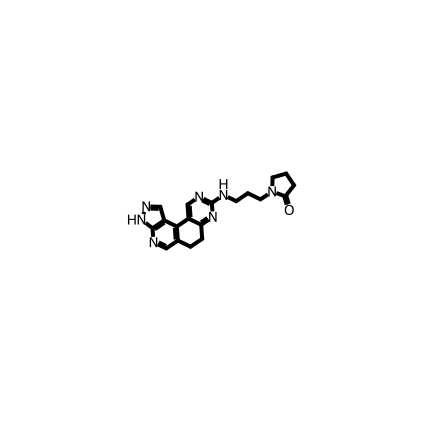 O=C1CCCN1CCCNc1ncc2c(n1)CCc1cnc3[nH]ncc3c1-2